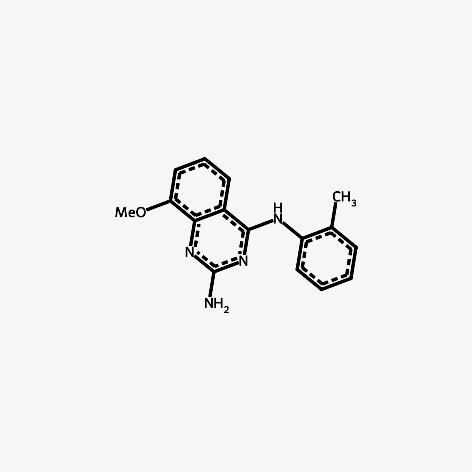 COc1cccc2c(Nc3ccccc3C)nc(N)nc12